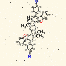 CC1(C)c2cc3c(cc2-c2c1cc(-c1ccc(C#N)cc1)c1c2oc2ccccc21)C(C)(C)c1cc(-c2ccc(C#N)cc2)c2c(oc4ccccc42)c1-3